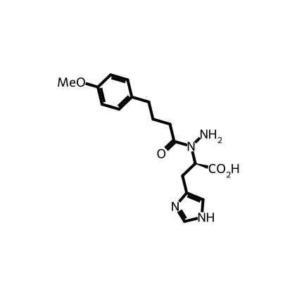 COc1ccc(CCCC(=O)N(N)[C@H](Cc2c[nH]cn2)C(=O)O)cc1